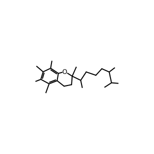 Cc1c(C)c(C)c2c(c1C)CCC(C)(C(C)CCCC(C)C(C)C)O2